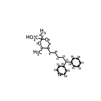 CC1OC(C)(C(=O)O)OCC1CCCCC(c1ccccc1)c1ccncc1